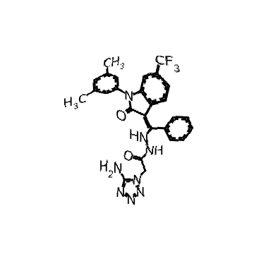 Cc1cc(C)cc(N2C(=O)/C(=C(\NNC(=O)Cn3nnnc3N)c3ccccc3)c3ccc(C(F)(F)F)cc32)c1